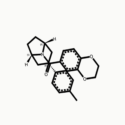 Cc1ccc([C@H]2C[C@H]3CC[C@@H](C2)N3C(=O)c2ccc3c(c2)OCCO3)cc1